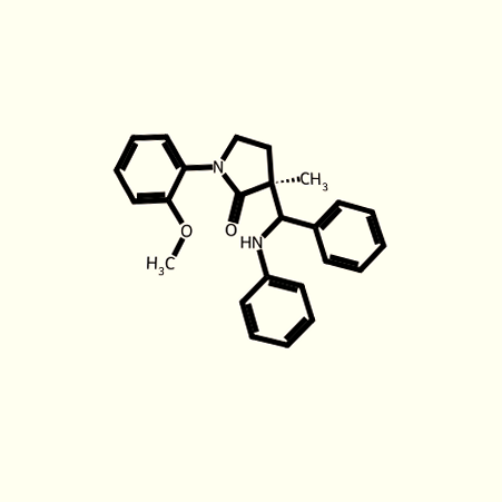 COc1ccccc1N1CC[C@@](C)(C(Nc2ccccc2)c2ccccc2)C1=O